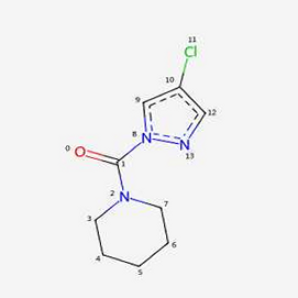 O=C(N1CCCCC1)n1cc(Cl)cn1